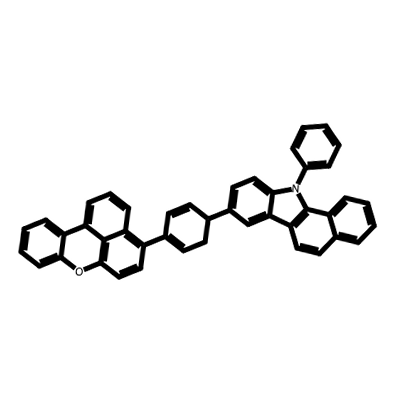 C1=CC(c2ccc3c(c2)c2ccc4ccccc4c2n3-c2ccccc2)CC=C1c1ccc2c3c(cccc13)-c1ccccc1O2